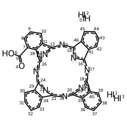 I.I.I.I.O=C(O)c1cccc2c3nc4nc(nc5[nH]c(nc6nc(nc([nH]3)c12)-c1ccccc1-6)c1ccccc51)-c1ccccc1-4